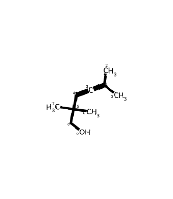 CC(C)=C=CC(C)(C)CO